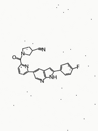 N#CC1CCN(C(=O)c2cccc(-c3cnc4[nH]c(-c5ccc(F)cc5)cc4c3)n2)C1